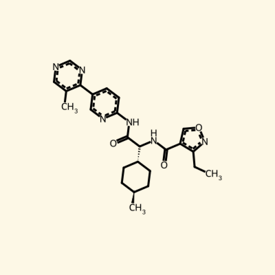 CCc1nocc1C(=O)NC(C(=O)Nc1ccc(-c2ncncc2C)cn1)[C@H]1CC[C@H](C)CC1